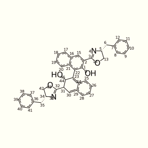 Oc1c(C2=N[C@H](Cc3ccccc3)CO2)cc2ccccc2c1C1=c2ccccc2=CC(C2=N[C@H](Cc3ccccc3)CO2)C1O